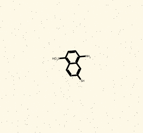 Nc1ccc(S(=O)(=O)O)c2ccc(S)cc12